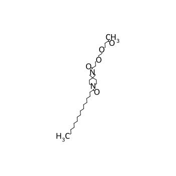 CCCCCCCCCCCCCCCC(=O)N1CCC2(CC1)CN(C(=O)CCOCCOCCC(C)=O)C2